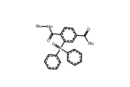 CC(C)(C)NC(=O)c1ccc(C(=O)C(C)(C)C)cc1P(=O)(c1ccccc1)c1ccccc1